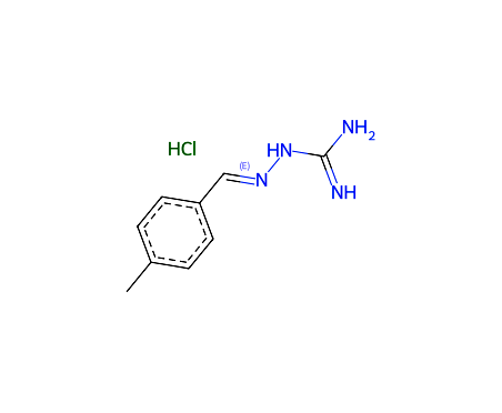 Cc1ccc(/C=N/NC(=N)N)cc1.Cl